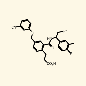 [C-]#[N+]c1cccc(OCc2ccc(CCC(=O)O)c(C(=O)NC(CC(C)C)c3ccc(F)c(C)c3)c2)c1